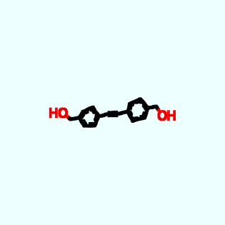 OCc1ccc(C#Cc2ccc(CO)cc2)cc1